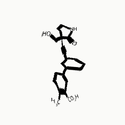 Cc1ccc(-c2cccc(C#C[C@@]3(CO)CCNC3=O)c2)cc1C(=O)O